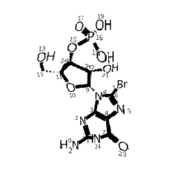 Nc1nc2c(nc(Br)n2[C@@H]2O[C@H](CO)[C@@H](OP(=O)(O)O)[C@H]2O)c(=O)[nH]1